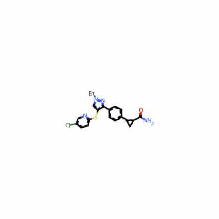 CCn1cc(Sc2ccc(Cl)cn2)c(-c2ccc(C3CC3C(N)=O)cc2)n1